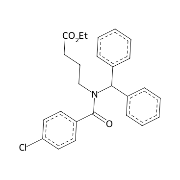 CCOC(=O)CCCN(C(=O)c1ccc(Cl)cc1)C(c1ccccc1)c1ccccc1